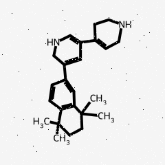 CC1(C)CCC(C)(C)c2cc(C3=CC(C4=CCNCC4)=CNC3)ccc21